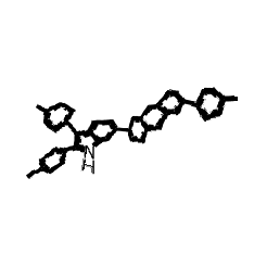 Cc1ccc(-c2ccc3cc4cc(-c5ccc6c(-c7ccc(C)cc7)c(-c7ccc(C)cc7)[nH]c6c5)ccc4cc3c2)cc1